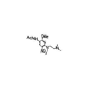 COc1nc(N(C)CCN(C)C)c([N+](=O)[O-])cc1NC(C)=O